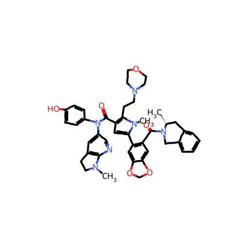 C[C@@H]1Cc2ccccc2CN1C(=O)c1cc2c(cc1-c1cc(C(=O)N(c3ccc(O)cc3)c3cnc4c(c3)CCN4C)c(CCN3CCOCC3)n1C)OCO2